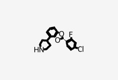 Fc1cc(Cl)ccc1[C@H]1Oc2cccc(C3CCNCC3)c2O1